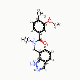 CCCOc1cc(C(=O)N(C)Cc2cccc3cn[nH]c23)ccc1C